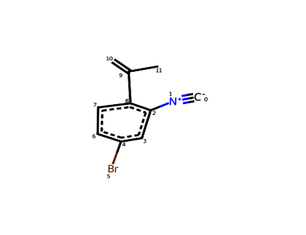 [C-]#[N+]c1cc(Br)ccc1C(=C)C